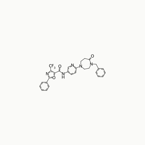 O=C(Nc1ccc(N2CCC(=O)N(Cc3ccccc3)CC2)nc1)c1oc(-c2ccccc2)nc1C(F)(F)F